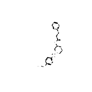 CCCCNc1ccc(S(=O)(=O)N2CCCC(NC(=O)CCc3ccccc3)C2)cc1